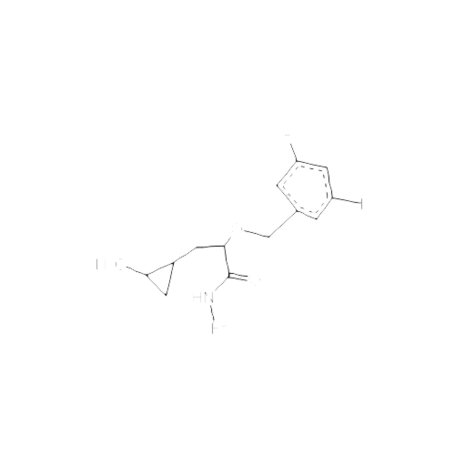 CCNC(=O)C(CC1CC1C)OCc1cc(F)cc(F)c1